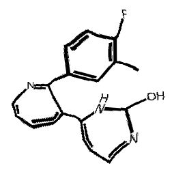 Cc1cc(-c2ncccc2C2=CC=NC(O)N2)ccc1F